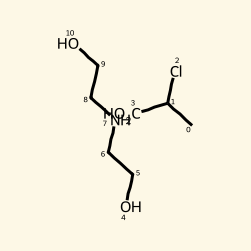 CC(Cl)C(=O)O.OCCNCCO